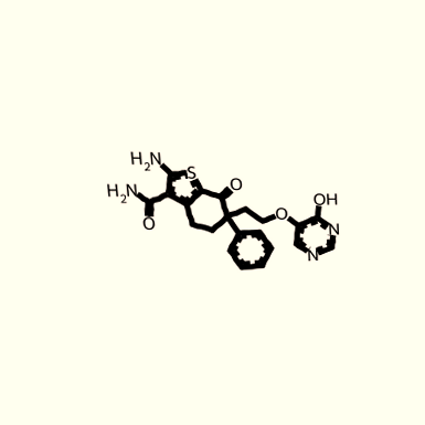 NC(=O)c1c(N)sc2c1CCC(CCOc1cncnc1O)(c1ccccc1)C2=O